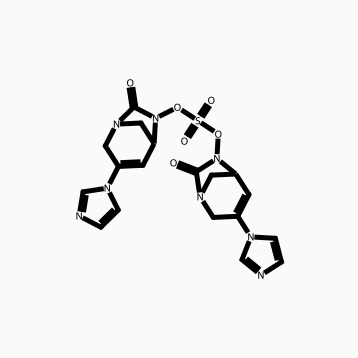 O=C1N2CC(n3ccnc3)=CC(C2)N1OS(=O)(=O)ON1C(=O)N2CC(n3ccnc3)=CC1C2